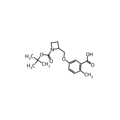 Cc1ccc(OCC2CCN2C(=O)OC(C)(C)C)cc1C(=O)O